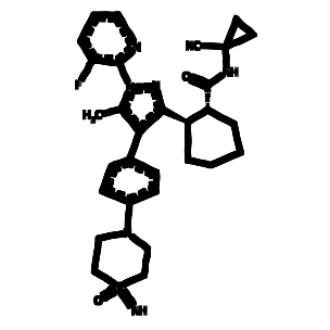 Cc1c(-c2ccc(N3CCS(=N)(=O)CC3)cc2)c([C@@H]2CCCC[C@H]2C(=O)NC2(C#N)CC2)nn1-c1ncccc1F